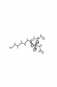 CCCCCC[S+](CCCC)OS(=O)(=O)CCC